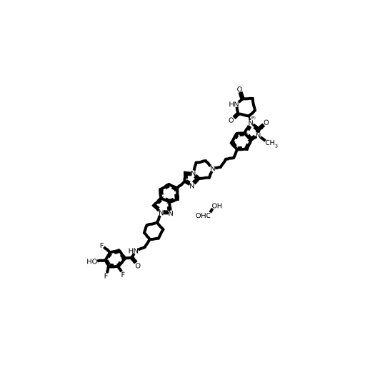 Cn1c(=O)n([C@@H]2CCC(=O)NC2=O)c2ccc(CCCN3CCn4cc(-c5ccc6cn(C7CCC(CNC(=O)c8cc(F)c(O)c(F)c8F)CC7)nc6c5)nc4C3)cc21.O=CO